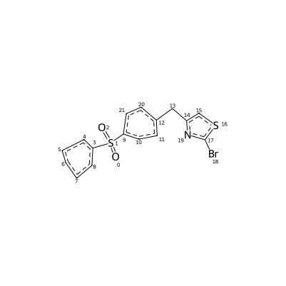 O=S(=O)(c1ccccc1)c1ccc(Cc2csc(Br)n2)cc1